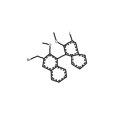 COc1c(I)cc2ccccc2c1-c1c(OC)c(CBr)cc2ccccc12